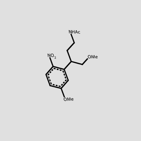 COCC(CCNC(C)=O)c1cc(OC)ccc1[N+](=O)[O-]